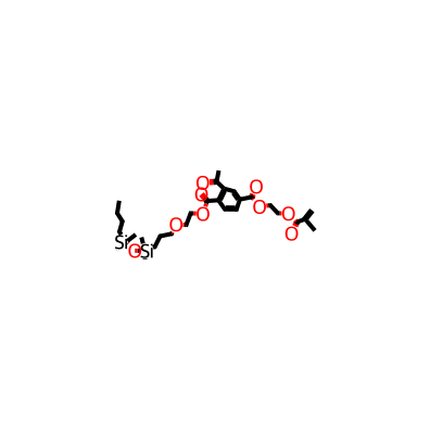 C=C(C)C(=O)OCCOC(=O)c1ccc(C(=O)OCCOCCC[Si](C)(C)O[Si](C)(C)CCCC)c(C(C)=O)c1